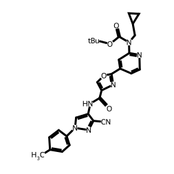 Cc1ccc(-n2cc(NC(=O)c3coc(-c4ccnc(N(CC5CC5)C(=O)OC(C)(C)C)c4)n3)c(C#N)n2)cc1